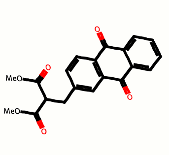 COC(=O)C(Cc1ccc2c(c1)C(=O)c1ccccc1C2=O)C(=O)OC